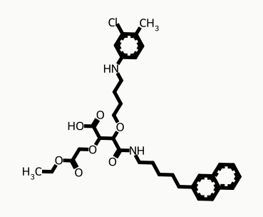 CCOC(=O)COC(C(=O)O)C(OCCCCNc1ccc(C)c(Cl)c1)C(=O)NCCCCCc1ccc2ccccc2c1